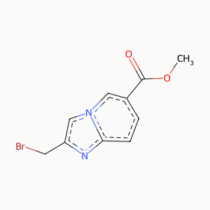 COC(=O)c1ccc2nc(CBr)cn2c1